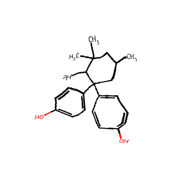 [2H]C1C(C)(C)CC(C)CC1(c1ccc(O)cc1)c1ccc(O)cc1